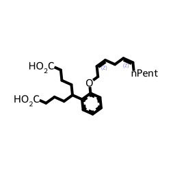 CCCCC/C=C\C/C=C\COc1ccccc1C(CCCC(=O)O)CCCC(=O)O